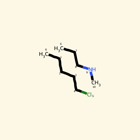 CCCCCCl.CCCNC